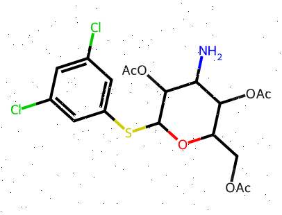 CC(=O)OCC1OC(Sc2cc(Cl)cc(Cl)c2)C(OC(C)=O)C(N)C1OC(C)=O